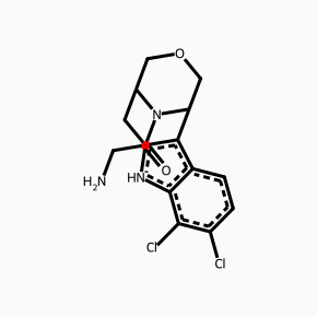 NCC(=O)N1C2COCC1c1c([nH]c3c(Cl)c(Cl)ccc13)C2